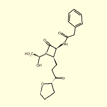 O=C(Cc1ccccc1)N[C@@H]1C(=O)N([C@@H](O)C(=O)O)[C@@H]1CCC(=O)[C@@H]1CCCO1